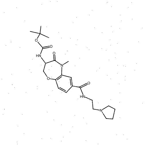 CN1C(=O)C(NC(=O)OC(C)(C)C)COc2ccc(C(=O)NCCN3CCCC3)cc21